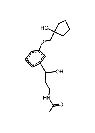 CC(=O)NCCC(O)c1cccc(OCC2(O)CCCC2)c1